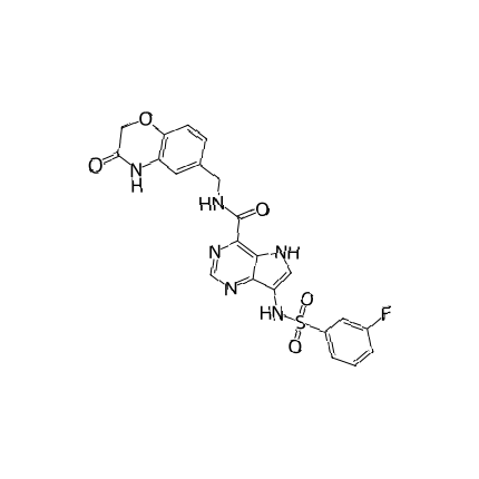 O=C1COc2ccc(CNC(=O)c3ncnc4c(NS(=O)(=O)c5cccc(F)c5)c[nH]c34)cc2N1